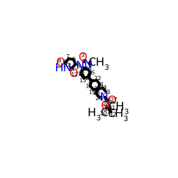 Cn1c(=O)n(C2CCC(=O)NC2=O)c2ccc(C3CCC4(CC3)CCN(C(=O)OC(C)(C)C)CC4)cc21